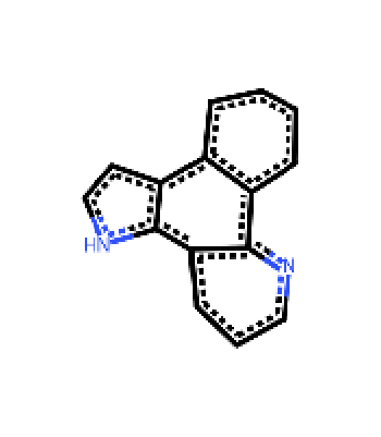 c1ccc2c(c1)c1cc[nH]c1c1cccnc21